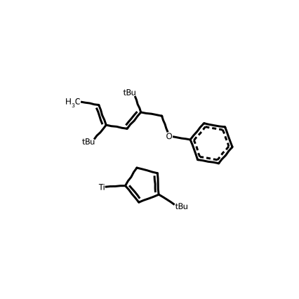 CC(C)(C)C1=CC[C]([Ti])=C1.CC=C(C=C(COc1ccccc1)C(C)(C)C)C(C)(C)C